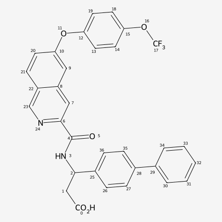 O=C(O)CC(NC(=O)c1cc2cc(Oc3ccc(OC(F)(F)F)cc3)ccc2cn1)c1ccc(-c2ccccc2)cc1